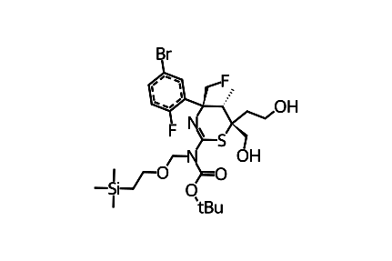 C[C@@H]1[C@](CO)(CCO)SC(N(COCC[Si](C)(C)C)C(=O)OC(C)(C)C)=N[C@]1(CF)c1cc(Br)ccc1F